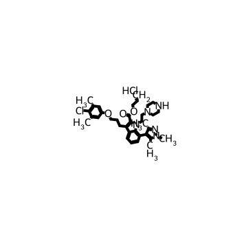 C=CCOC(=O)c1c(CCCOc2cc(C)c(Cl)c(C)c2)c2cccc(-c3c(C)nn(C)c3C)c2n1CCN1CCNCC1.Cl